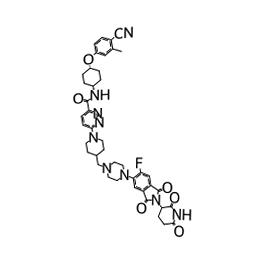 Cc1cc(O[C@H]2CC[C@H](NC(=O)c3ccc(N4CCC(CN5CCN(c6cc7c(cc6F)C(=O)N(C6CCC(=O)NC6=O)C7=O)CC5)CC4)nn3)CC2)ccc1C#N